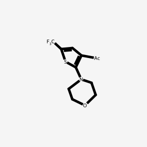 CC(=O)c1cc(C(F)(F)F)sc1N1CCOCC1